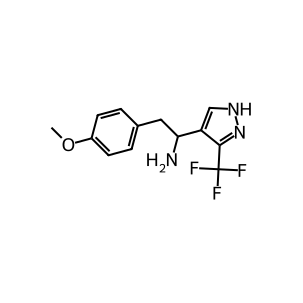 COc1ccc(CC(N)c2c[nH]nc2C(F)(F)F)cc1